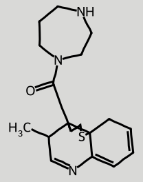 CC1C=NC2=CC=CCC23SCC(C(=O)N2CCCNCC2)C13